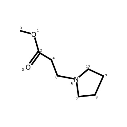 COC(=O)CCN1CCCC1